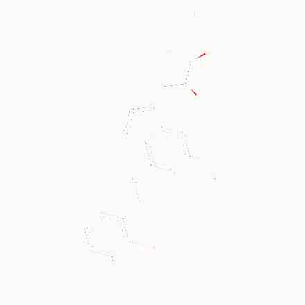 COc1cccc(CNc2nc(SC)nc3c2ncn3C2O[C@H](CO)[C@@H](O)[C@H]2O)c1O